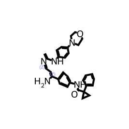 C=C(/N=C\C=C(/N)c1ccc(NC(=O)C2(c3ccccc3)CC2)cc1)Nc1ccc(N2CCOCC2)cc1